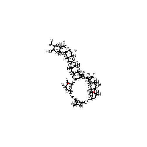 C=C1C[C@@H]2CC[C@]34C[C@@H]5CC(O3)[C@]3(C)O[C@H]6CC[C@H](CC(=O)O[C@@H]7[C@@H](C)[C@@H]8O[C@@H]9C[C@]%10(C[C@@H]%11O[C@]%12(C[C@H](C)[C@@H]%13O[C@H](CC)[C@H](O)C[C@@H]%13O%12)C[C@H](C)[C@@H]%11O%10)O[C@@H]9C[C@@H]8O[C@H]7C[C@H]7O[C@@H](CC[C@@H]1O2)C[C@@H](C)C7=C)O[C@@H]6[C@H](O4)C3O5